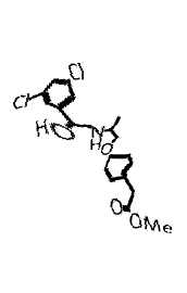 COC(=O)Cc1ccc(OCC(C)NCC(O)c2cc(Cl)cc(Cl)c2)cc1